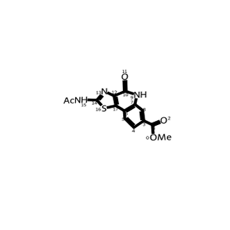 COC(=O)c1ccc2c(c1)[nH]c(=O)c1nc(NC(C)=O)sc12